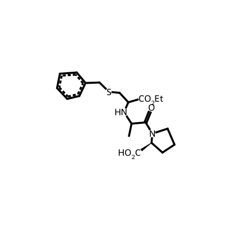 CCOC(=O)C(CSCc1ccccc1)NC(C)C(=O)N1CCC[C@H]1C(=O)O